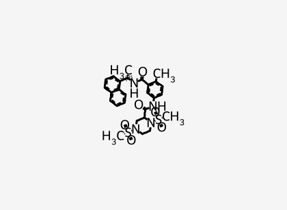 Cc1ccc(NC(=O)C2CN(S(C)(=O)=O)CCN2S(C)(=O)=O)cc1C(=O)N[C@H](C)c1cccc2ccccc12